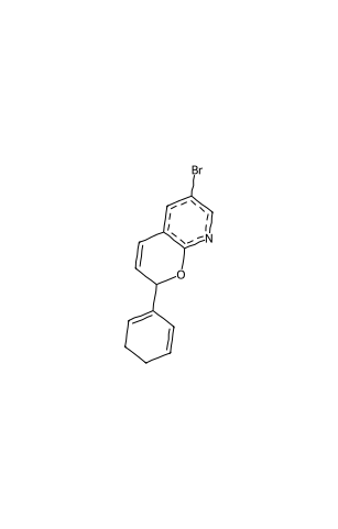 Brc1cnc2c(c1)C=CC(C1=CCCC=C1)O2